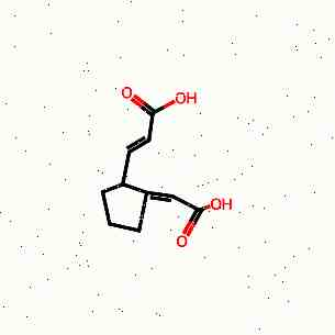 O=C(O)C=CC1CCCC1=CC(=O)O